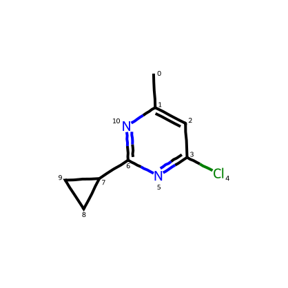 Cc1cc(Cl)nc(C2CC2)n1